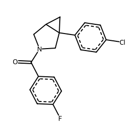 O=C(c1ccc(F)cc1)N1CC2CC2(c2ccc(Cl)cc2)C1